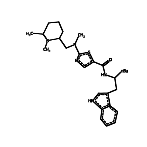 CCCCC(Cc1c[nH]c2ccccc12)NC(=O)c1cnc(N(C)CC2CCCC(C)N2C)s1